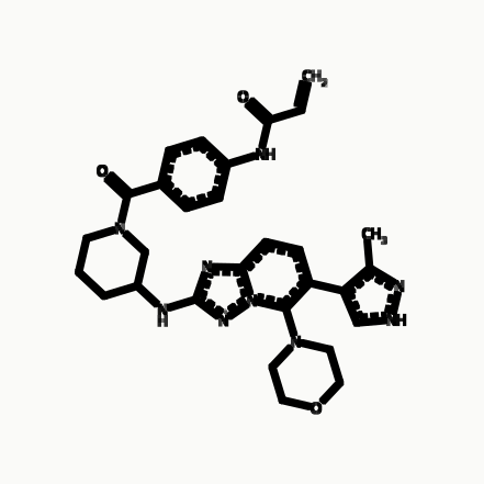 C=CC(=O)Nc1ccc(C(=O)N2CCCC(Nc3nc4ccc(-c5c[nH]nc5C)c(N5CCOCC5)n4n3)C2)cc1